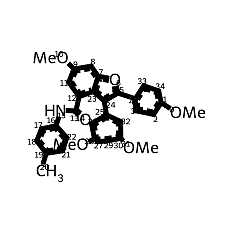 COc1ccc(-c2oc3cc(OC)cc(C(=O)Nc4ccc(C)cc4)c3c2-c2cc(OC)cc(OC)c2)cc1